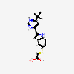 CC(C)(C)c1cc(-c2cc3cc(SCC(=O)O)ccc3[nH]2)ncn1